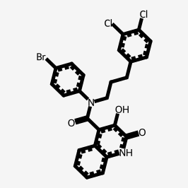 O=C(c1c(O)c(=O)[nH]c2ccccc12)N(CCCc1ccc(Cl)c(Cl)c1)c1ccc(Br)cc1